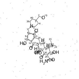 COCC1CCN(Cc2cc(O)c3c(c2Cl)C[C@H]2C[C@H]4[C@H](N(C)C)C(O)=C(C(N)=O)C(=O)[C@@]4(O)C(O)=C2C3=O)CC1